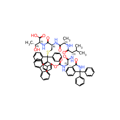 CC(C)[C@H](NC(=O)[C@H](CC(=O)NC(c1ccccc1)(c1ccccc1)c1ccccc1)NC(=O)OCC1c2ccccc2-c2ccccc21)C(=O)N[C@@H](C)C(=O)N[C@@H](CSC(c1ccccc1)(c1ccccc1)c1ccccc1)C(=O)N[C@H](C(=O)O)[C@@H](C)O